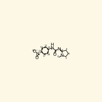 CN1CCC/C1=N/C(=O)Nc1ccc([N+](=O)[O-])cc1